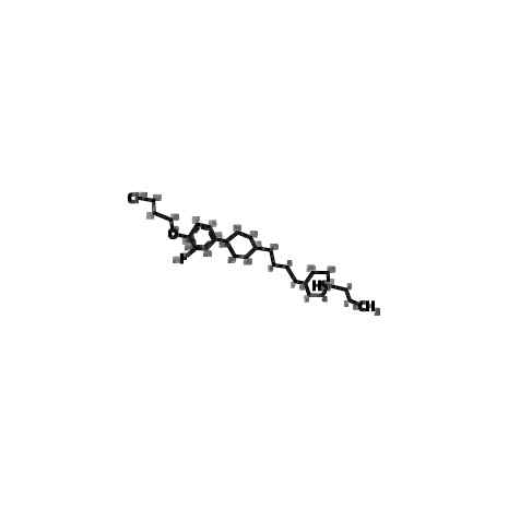 CCC[SiH]1CCC(CCCCC2CCC(c3ccc(OCCCCl)c(F)c3)CC2)CC1